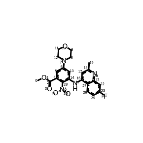 COC(=O)c1cc(N2CCOCC2)cc(Nc2cc(C)nc3cc(F)ccc23)c1[N+](=O)[O-]